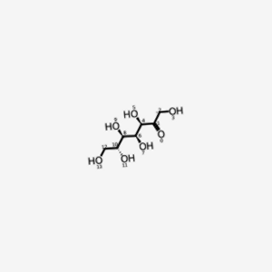 O=C([CH]O)[C@H](O)[C@@H](O)[C@H](O)[C@H](O)CO